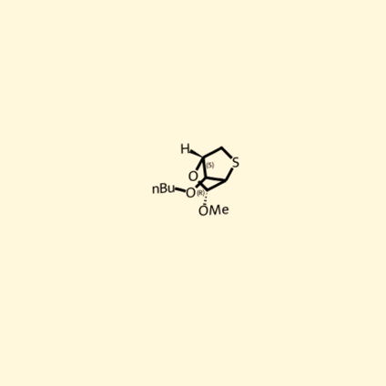 CCCCOC1C2SC[C@H]1O[C@H]2OC